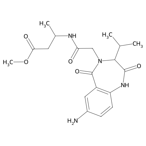 COC(=O)CC(C)NC(=O)CN1C(=O)c2cc(N)ccc2NC(=O)C1C(C)C